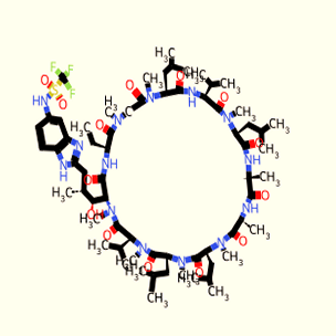 CC[C@@H]1NC(=O)[C@H]([C@H](O)[C@H](C)Cc2nc3cc(NS(=O)(=O)C(F)(F)F)ccc3[nH]2)N(C)C(=O)[C@H](C(C)C)N(C)C(=O)[C@H](CC(C)C)N(C)C(=O)[C@H](CC(C)C)N(C)C(=O)[C@@H](C)NC(=O)[C@H](C)NC(=O)[C@H](CC(C)C)N(C)C(=O)[C@H](C(C)C)NC(=O)[C@H](CC(C)C)N(C)C(=O)CN(C)C1=O